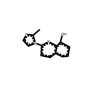 Cc1nccn1-c1ccc2cccc(O)c2n1